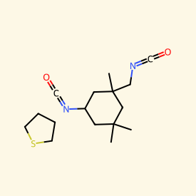 C1CCSC1.CC1(C)CC(N=C=O)CC(C)(CN=C=O)C1